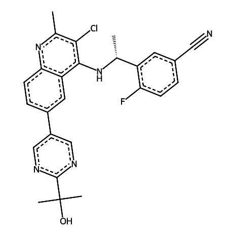 Cc1nc2ccc(-c3cnc(C(C)(C)O)nc3)cc2c(N[C@H](C)c2cc(C#N)ccc2F)c1Cl